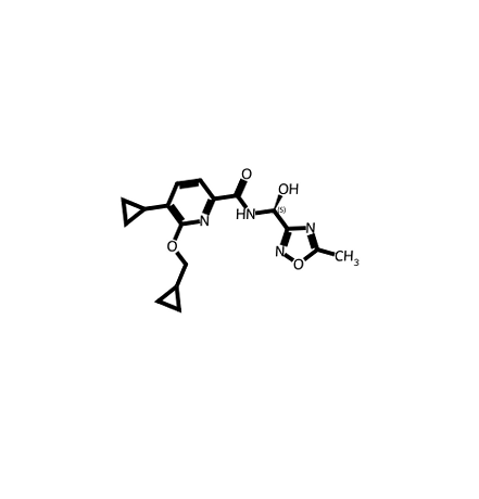 Cc1nc([C@H](O)NC(=O)c2ccc(C3CC3)c(OCC3CC3)n2)no1